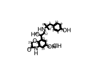 CC(C)(Cc1ccc(O)cc1)NCC(O)c1cc(O)cc2c1OCC(=O)N2.Cl